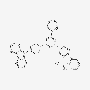 CC1(C)c2ccccc2-c2ccc(-c3nc(-c4ccccc4)cc(-c4ccc(-n5c6ccccc6c6ccccc65)cc4)n3)cc21